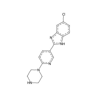 Clc1ccc2[nH]c(-c3ccc(N4CCNCC4)nc3)nc2c1